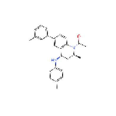 CC(=O)N1c2ccc(-c3cccc(C)c3)cc2[C@H](Nc2ccc(C)cc2)C[C@@H]1C